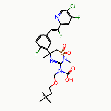 CN1C(N(COCC[Si](C)(C)C)C(=O)O)=NC(C)(c2cc(C=C(F)c3cc(F)c(Cl)cn3)ccc2F)CS1(=O)=O